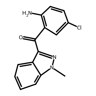 Cn1nc(C(=O)c2cc(Cl)ccc2N)c2ccccc21